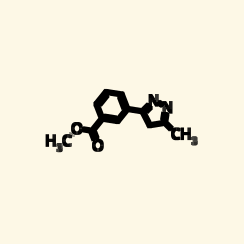 COC(=O)c1cccc(C2=NN=C(C)C2)c1